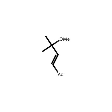 COC(C)(C)C=CC(C)=O